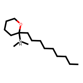 CCCCCCCCCC1([SiH](C)C)CCCCO1